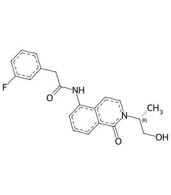 C[C@H](CO)n1ccc2c(NC(=O)Cc3cccc(F)c3)cccc2c1=O